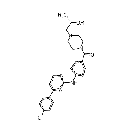 C[C@H](O)CN1CCN(C(=O)c2ccc(Nc3nccc(-c4ccc(Cl)cc4)n3)cc2)CC1